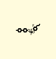 CCCc1ccc(OC(F)(F)COc2ccc(-c3ccc(C)cc3)cc2)cc1F